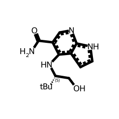 CC(C)(C)[C@@H](CO)Nc1c(C(N)=O)cnc2[nH]ccc12